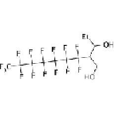 CCC(O)C(CO)C(F)(F)C(F)(F)C(F)(F)C(F)(F)C(F)(F)C(F)(F)C(F)(F)F